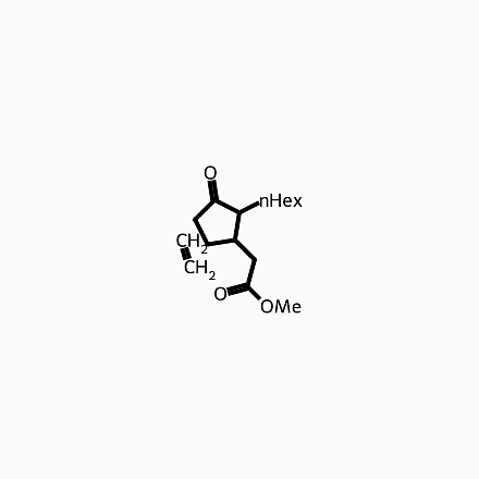 C=C.CCCCCCC1C(=O)CCC1CC(=O)OC